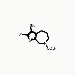 CC(C)(C)c1c(Br)sc2c1CCCN(C(=O)O)C2